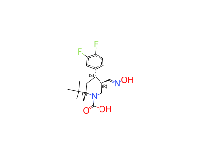 CC(C)(C)[C@]1(C)C[C@H](c2ccc(F)c(F)c2)[C@@H](C=NO)CN1C(=O)O